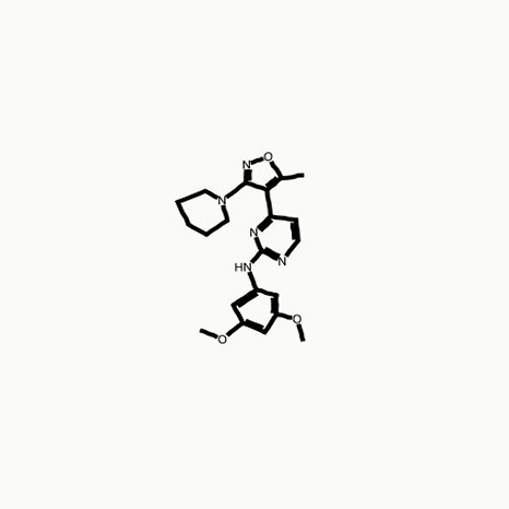 COc1cc(Nc2nccc(-c3c(N4CCCCC4)noc3C)n2)cc(OC)c1